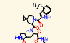 Cc1cccc2[nH]c(C(=O)N3CCC4(CC4)CC3C(=O)NC(CC3CCNC3=O)C(=O)C(=O)NC3CC3)cc12